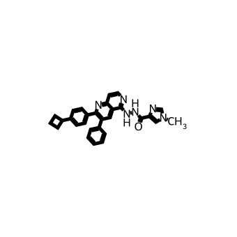 Cn1cnc(C(=O)NNc2nccc3nc(-c4ccc([C]5CCC5)cc4)c(-c4ccccc4)cc23)c1